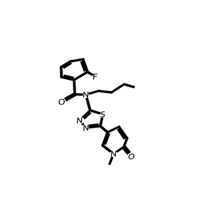 CCCCN(C(=O)c1ccccc1F)c1nnc(-c2ccc(=O)n(C)c2)s1